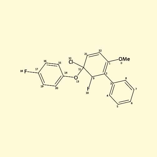 COC1=C(c2ccccc2)C(F)C(Cl)(Oc2ccc(F)cc2)C=C1